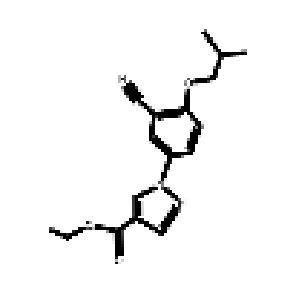 CCOC(=O)c1cnn(-c2ccc(OCC(C)C)c(C#N)c2)c1